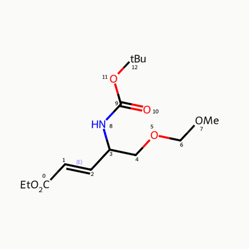 CCOC(=O)/C=C/C(COCOC)NC(=O)OC(C)(C)C